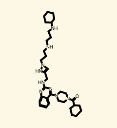 O=C(C1CCCCC1)N1CCN(c2nc(NCc3cn(CCCNCCCNC4CCCCC4)[nH]3)nc3ccccc23)CC1